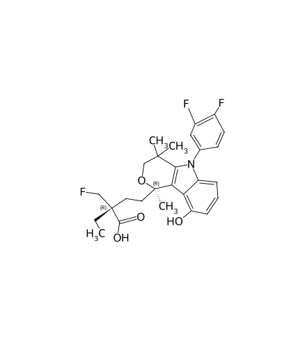 CC[C@@](CF)(CC[C@@]1(C)OCC(C)(C)c2c1c1c(O)cccc1n2-c1ccc(F)c(F)c1)C(=O)O